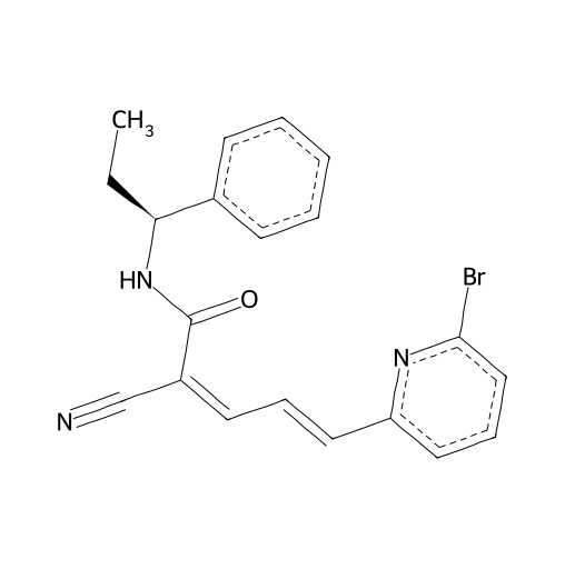 CC[C@H](NC(=O)C(C#N)=CC=Cc1cccc(Br)n1)c1ccccc1